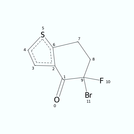 O=C1c2ccsc2CCC1(F)Br